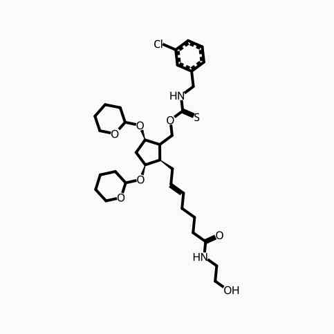 O=C(CCCC=CC[C@@H]1C(COC(=S)NCc2cccc(Cl)c2)[C@H](OC2CCCCO2)C[C@@H]1OC1CCCCO1)NCCO